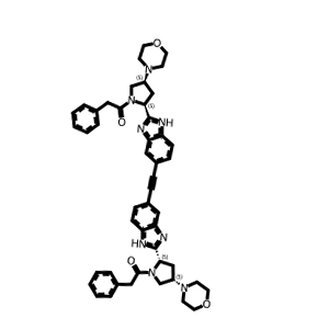 O=C(Cc1ccccc1)N1C[C@@H](N2CCOCC2)C[C@H]1c1nc2cc(C#Cc3ccc4[nH]c([C@@H]5C[C@H](N6CCOCC6)CN5C(=O)Cc5ccccc5)nc4c3)ccc2[nH]1